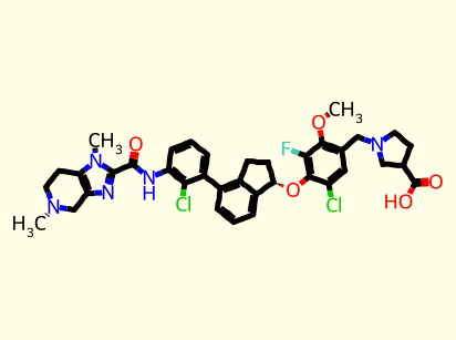 COc1c(CN2CCC(C(=O)O)C2)cc(Cl)c(O[C@H]2CCc3c(-c4cccc(NC(=O)c5nc6c(n5C)CCN(C)C6)c4Cl)cccc32)c1F